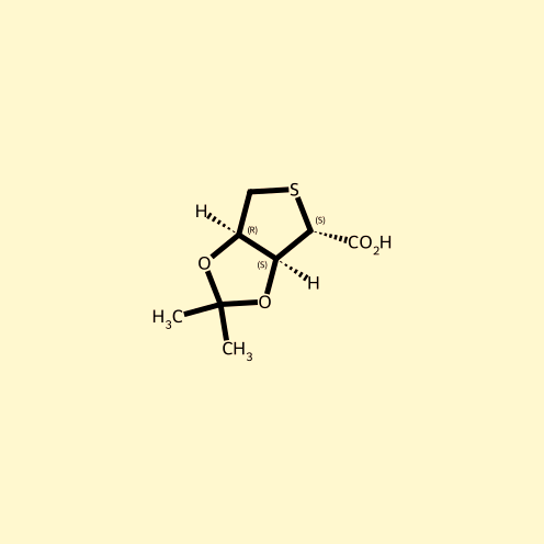 CC1(C)O[C@H]2[C@H](CS[C@@H]2C(=O)O)O1